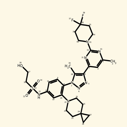 Cc1cc(-c2nnn(-c3ccc(NS(=O)(=O)CCO)cc3N3CCC4(CC3)CC4)c2C)nc(N2CCC(F)(F)CC2)n1